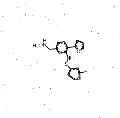 CNCc1ccc(-c2ccco2)c(NSc2cccc(F)c2)c1